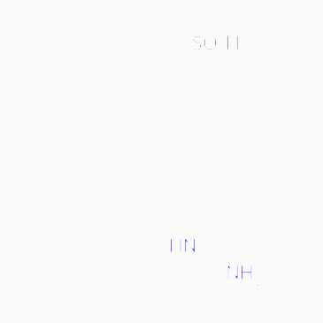 NNc1ccc(S(=O)(=O)O)c2ccccc12